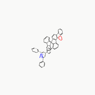 c1ccc(-c2cc(-c3ccc(-c4cccc5c4C4(c6ccccc6-c6ccccc64)c4ccc6c(oc7ccccc76)c4-5)cc3)cc(-c3ccccc3)n2)cc1